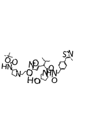 Cc1ncsc1-c1ccc(CNC(=O)[C@@H]2C[C@@H](O)CN2C(=O)C(c2cc(OCCN3CC[C@@H](NC(=O)OC(C)(C)C)C3)no2)C(C)C)cc1